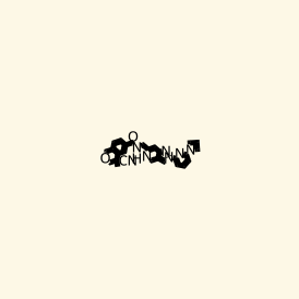 CC1(C#N)COCc2ccc(C(=O)NCc3cc4nn(-c5cccc(N6CCC6)n5)cc4cn3)cc21